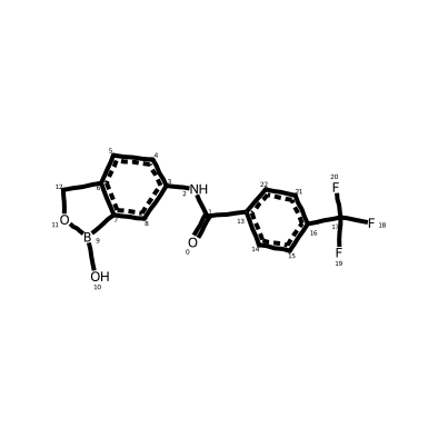 O=C(Nc1ccc2c(c1)B(O)OC2)c1ccc(C(F)(F)F)cc1